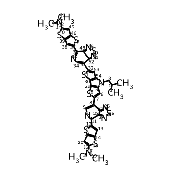 CC(C)Cn1c2cc(-c3cnc(-c4cc5sc(N(C)C)cc5s4)c4nsnc34)sc2c2sc(-c3cnc(-c4cc5sc(N(C)C)cc5s4)c4nsnc34)cc21